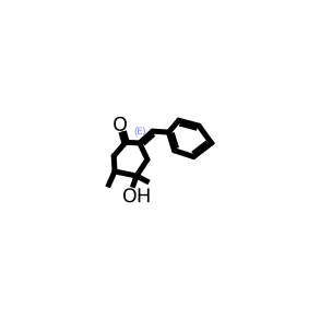 CC1CC(=O)/C(=C/c2ccccc2)CC1(C)O